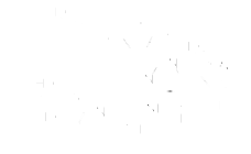 COCOc1ccc(Cl)c(-c2nc(NC3CCN(C(=O)OC(C)(C)C)CC3(F)F)c(C)c(-c3c(C)noc3C)n2)c1